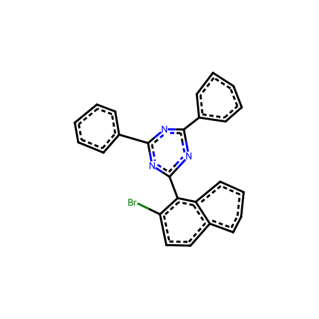 Brc1ccc2ccccc2c1-c1nc(-c2ccccc2)nc(-c2ccccc2)n1